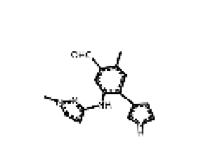 Cc1cc(-c2cc[nH]c2)c(Nc2ccn(C)n2)cc1C=O